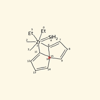 C[CH2][Zr]([CH3])([CH3])(=[SiH2])([CH2]C)([C]1=CC=CC1)[C]1=CC=CC1